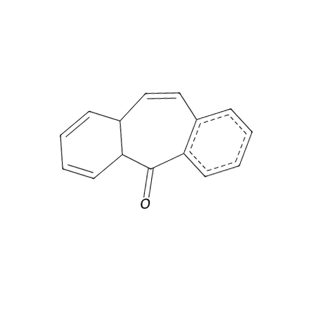 O=C1c2ccccc2C=CC2C=CC=CC12